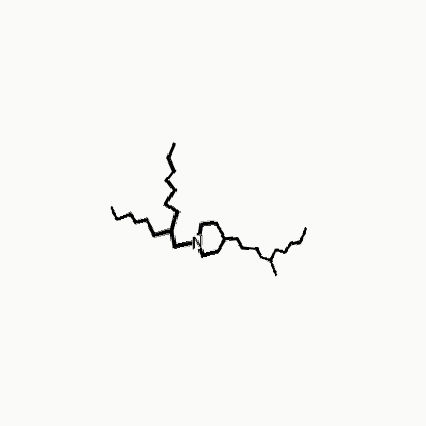 CCCCCCCC(CCCCCC)CN1CCC(CCCCC(C)CCCCC)CC1